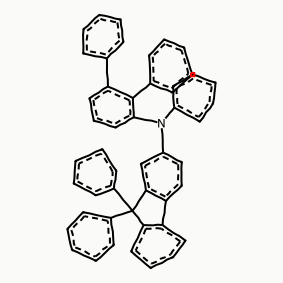 c1ccc(-c2cccc(N(c3ccccc3)c3ccc4c(c3)C(c3ccccc3)(c3ccccc3)c3ccccc3-4)c2-c2ccccc2)cc1